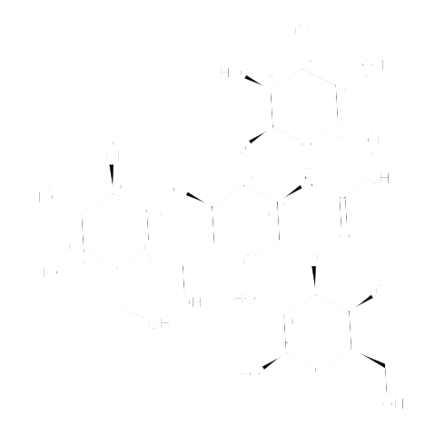 CC(=O)N[C@H]1[C@H](O[C@@H]2[C@@H](O)[C@H](O)O[C@H](CO)[C@@H]2O)O[C@H](CO)[C@@H](O[C@@H]2O[C@H](CO)[C@H](O)[C@H](O)[C@H]2O)[C@@H]1O[C@@H]1O[C@@H](C)[C@@H](O)[C@@H](O)[C@@H]1O